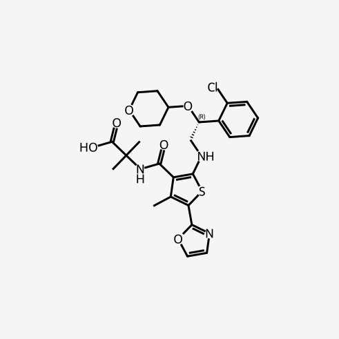 Cc1c(-c2ncco2)sc(NC[C@H](OC2CCOCC2)c2ccccc2Cl)c1C(=O)NC(C)(C)C(=O)O